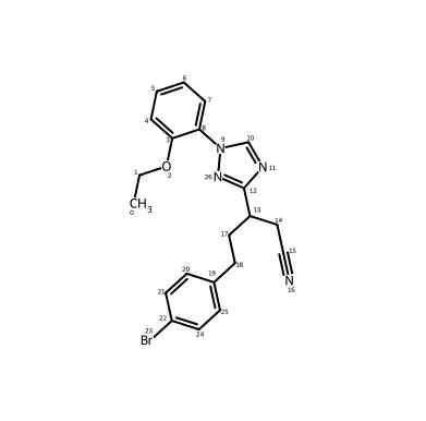 CCOc1ccccc1-n1cnc(C(CC#N)CCc2ccc(Br)cc2)n1